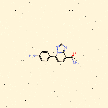 NC(=O)c1ccc(-c2ccc(N)cc2)n2n[c]nc12